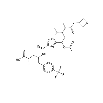 CC(=O)OC(CC(C(C)C)N(C)C(=O)CC1CSC1)c1nc(C(=O)NC(Cc2ccc(C(F)(F)F)cc2)CC(C)C(=O)O)cs1